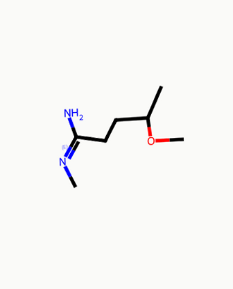 C/N=C(/N)CCC(C)OC